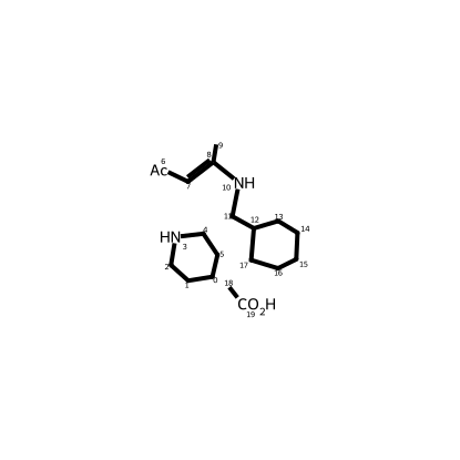 C1CCNCC1.CC(=O)C=C(C)NCC1CCCCC1.CC(=O)O